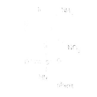 CCCCCNS(=O)(=O)c1ccnc(N)c1[N+](=O)[O-]